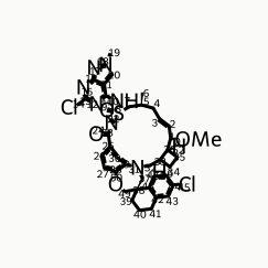 CO[C@H]1/C=C/C[C@H](C)C[S@@](=O)(Nc2nc(Cl)nc3nn(C)cc23)=NC(=O)c2ccc3c(c2)N(C[C@@H]2CC[C@H]21)C[C@@]1(CCCc2cc(Cl)ccc21)CO3